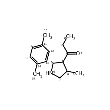 CCC(=O)C1CNCC1C.Cc1ccc(C)cc1